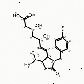 CC(C)C1CC(=O)N(Cc2ccc(F)cc2)C1/C=C/[C@@H](O)C[C@@H](O)CC(=O)O